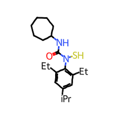 CCc1cc(C(C)C)cc(CC)c1N(S)C(=O)NC1CCCCCC1